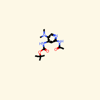 CC(=O)Nc1cc(NC(=O)OC(C)(C)C)c(N(C)C)cn1